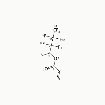 C=CC(=O)OC(C)C(F)(F)C(F)(F)C(F)(F)F